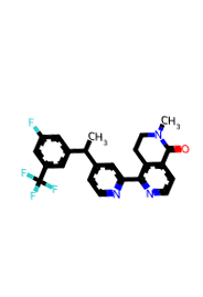 CC(c1cc(F)cc(C(F)(F)F)c1)c1ccnc(-c2nccc3c2CCN(C)C3=O)c1